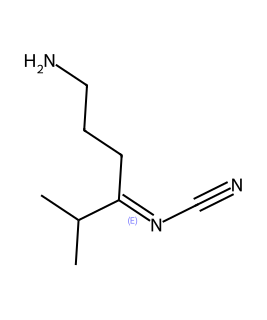 CC(C)/C(CCCN)=N/C#N